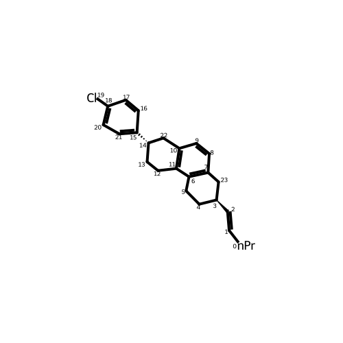 CCCC=C[C@H]1CCc2c(ccc3c2CC[C@H](c2ccc(Cl)cc2)C3)C1